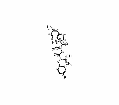 C[C@H](N(Cc1ccc(F)cc1)C(=O)CN1C(=O)NC2(CCc3cc(N)ccc32)C1=O)C(F)(F)F